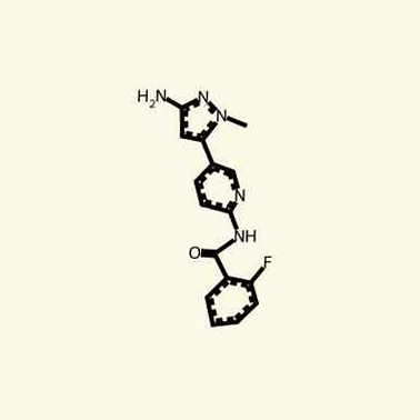 Cn1nc(N)cc1-c1ccc(NC(=O)c2ccccc2F)nc1